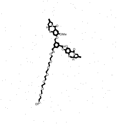 C=C1C[C@H]2C=Nc3cc(OCc4cc(/C=N/OCCOCCOCCOCCOCCOCCOCCOCC)cc(COc5cc6c(cc5OC)C(=O)N5CC(=C)C[C@H]5C=N6)c4)c(OC)cc3C(=O)N2C1